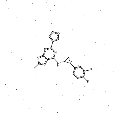 Cc1cc2c(N[C@@H]3C[C@H]3c3ccc(F)c(F)c3)nc(-c3ccoc3)nc2s1